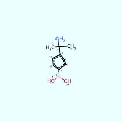 CC(C)(N)c1ccc(B(O)O)cc1